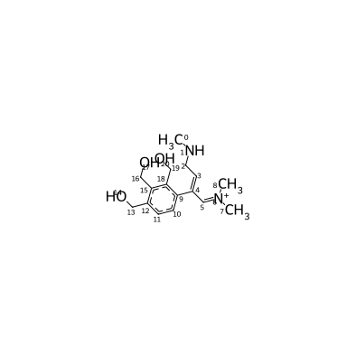 CNC/C=C(/C=[N+](C)C)c1ccc(CO)c(CO)c1CO